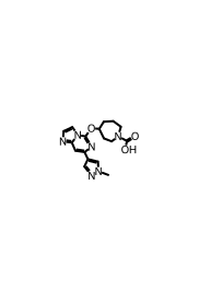 Cn1cc(-c2cc3nccn3c(OC3CCCN(C(=O)O)CC3)n2)cn1